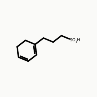 O=S(=O)(O)CCCC1=CC=CCC1